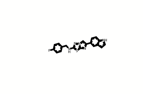 Fc1ccc(CNc2nn3cc(-c4ccc5[nH]ccc5c4)nc3s2)cc1